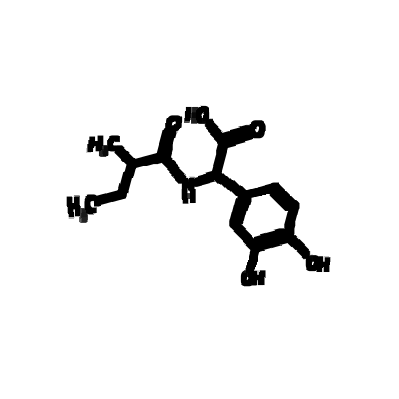 CCC(C)C(=O)NC(C(=O)O)c1ccc(O)c(O)c1